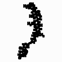 C[C@H]1CN([C@@H]2CC[C@H](C#Cc3ccc4c(c3)C(=O)N(C3CCC(=O)NC3=O)C4=O)C2)CCN1c1ccc(Nc2cc(-c3ccnc(N4CCn5c(cc6c5CC(C)(C)C6)C4=O)c3CO)cn(C)c2=O)nc1